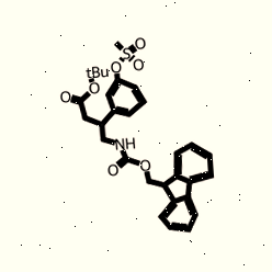 CC(C)(C)OC(=O)CC(CNC(=O)OCC1c2ccccc2-c2ccccc21)c1cccc(OS(C)(=O)=O)c1